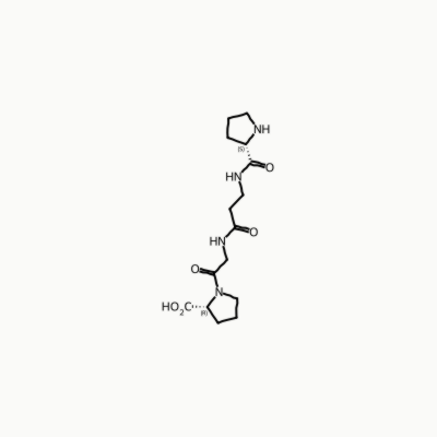 O=C(CCNC(=O)[C@@H]1CCCN1)NCC(=O)N1CCC[C@@H]1C(=O)O